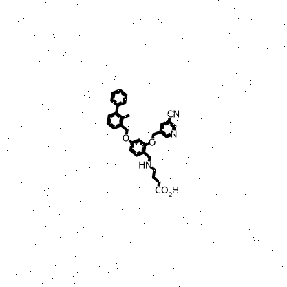 Cc1c(COc2ccc(CNCCCC(=O)O)c(OCc3cncc(C#N)c3)c2)cccc1-c1ccccc1